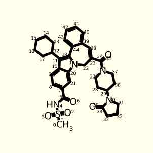 CS(=O)(=O)NC(=O)c1ccc2c(C3CCCCC3)c3n(c2c1)CC(C(=O)N1CCC(N2CCCC2=O)CC1)=Cc1ccccc1-3